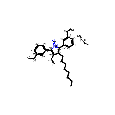 CCCCCCCCC1=C(c2cccc(CC)c2)[N+](=[N-])C(c2cccc(CC)c2)=C1CC.[CH3][Ni][CH3]